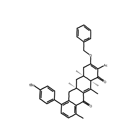 CC(=O)C1=C(OCc2ccccc2)C[C@]2(C)C[C@]3(C)Cc4c(-c5ccc(C(C)(C)C)cc5)ccc(C)c4C(=O)C3=C(C)[C@]2(C)C1=O